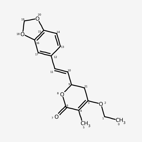 CCOC1=C(C)C(=O)OC(/C=C/c2ccc3c(c2)OCO3)C1